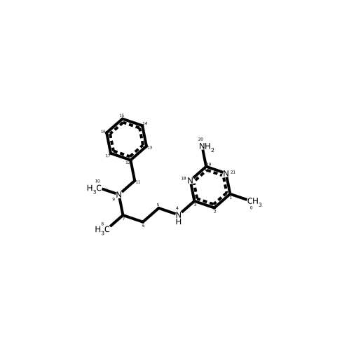 Cc1cc(NCCC(C)N(C)Cc2ccccc2)nc(N)n1